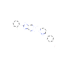 CCOc1ccc(-c2ccc(Cn3cc4nc(-c5cccc(F)c5F)nc-4cn3)nn2)cc1